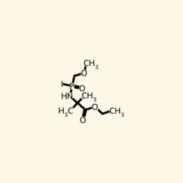 CCOC(=O)C(C)(C)NP(=O)(I)COC